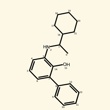 CC(Nc1cccc(-c2ccccc2)c1O)C1CCCCC1